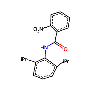 CC(C)c1cccc(C(C)C)c1NC(=O)c1ccccc1[N+](=O)[O-]